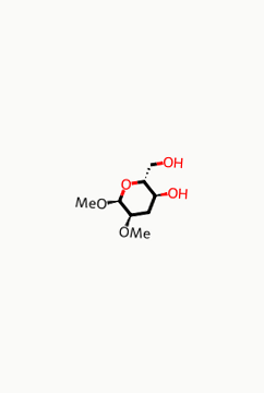 CO[C@H]1O[C@H](CO)[C@@H](O)C[C@H]1OC